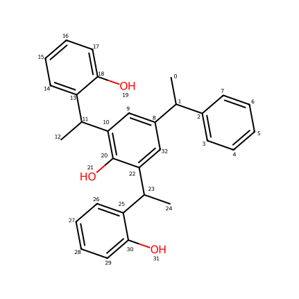 CC(c1ccccc1)c1cc(C(C)c2ccccc2O)c(O)c(C(C)c2ccccc2O)c1